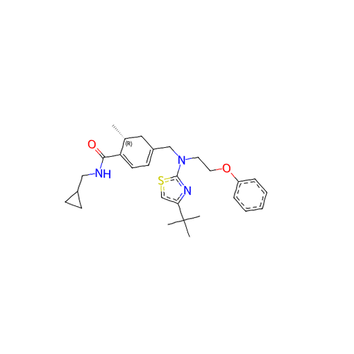 C[C@@H]1CC(CN(CCOc2ccccc2)c2nc(C(C)(C)C)cs2)=CC=C1C(=O)NCC1CC1